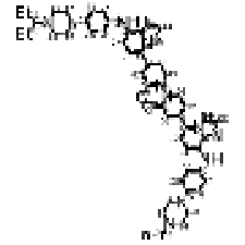 CCCN1CCN(c2ccc(Nc3ccc(-c4ccn(-n5ccc(-c6ccc(Nc7ccc(N8CCN(C(CC)CC)CC8)cc7)c7ncnn67)cc5=O)c(=O)c4)n4ncnc34)cc2)CC1